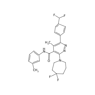 Cc1cccc(NC(=O)c2c(N3CCCC(F)(F)CC3)nnc(-c3ccc(C(F)F)cc3)c2C)c1